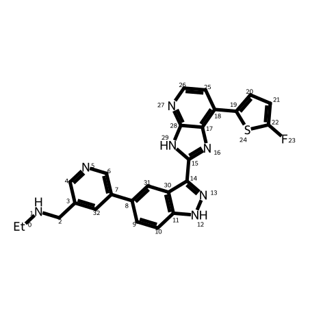 CCNCc1cncc(-c2ccc3[nH]nc(-c4nc5c(-c6ccc(F)s6)ccnc5[nH]4)c3c2)c1